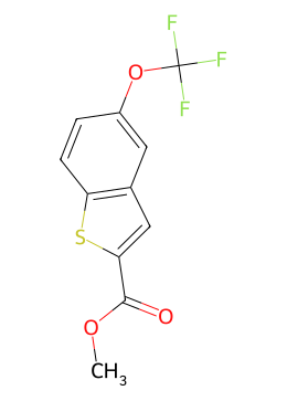 COC(=O)c1cc2cc(OC(F)(F)F)ccc2s1